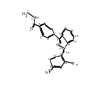 NNC(=O)c1ccc(-c2nn(Cc3ccc(F)cc3F)c3ccccc23)cc1